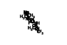 Cc1cc(C(F)(F)F)nn1CC(=O)Nc1cnc(-n2cnc(C(C)(C)c3nnco3)c2)c(F)c1